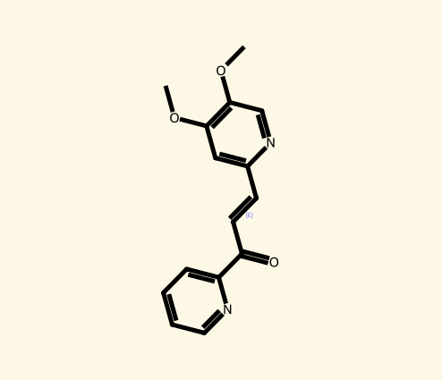 COc1cnc(/C=C/C(=O)c2ccccn2)cc1OC